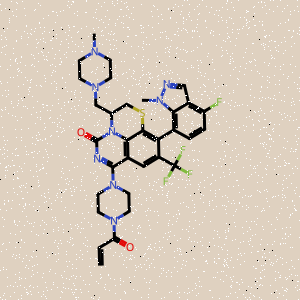 C=CC(=O)N1CCN(c2nc(=O)n3c4c(c(-c5ccc(F)c6cnn(C)c56)c(C(F)(F)F)cc24)SCC3CN2CCN(C)CC2)CC1